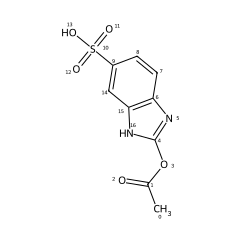 CC(=O)Oc1nc2ccc(S(=O)(=O)O)cc2[nH]1